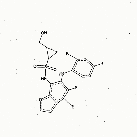 O=S(=O)(Nc1c(Nc2ccc(I)cc2F)c(F)c(F)c2ccoc12)C1CC1CO